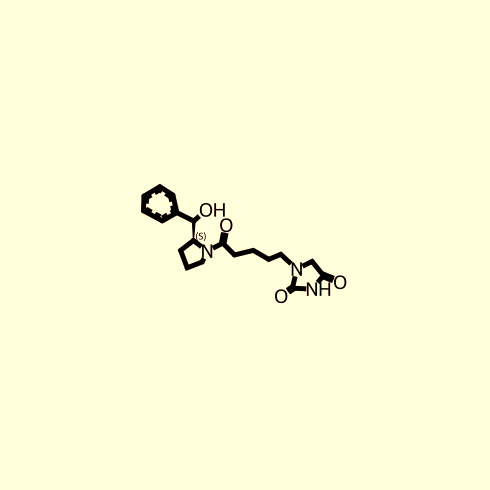 O=C1CN(CCCCC(=O)N2CCC[C@H]2C(O)c2ccccc2)C(=O)N1